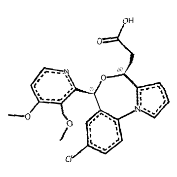 COc1ccnc([C@H]2O[C@@H](CC(=O)O)c3cccn3-c3ccc(Cl)cc32)c1OC